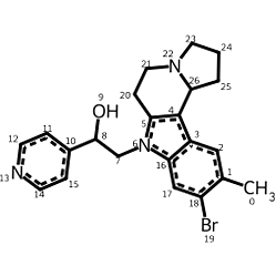 Cc1cc2c3c(n(CC(O)c4ccncc4)c2cc1Br)CCN1CCCC31